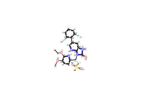 CCOc1nc([C@@H](CS(C)(=O)=O)n2c(=O)[nH]c3cc(-c4c(F)cccc4F)cnc32)ccc1OC